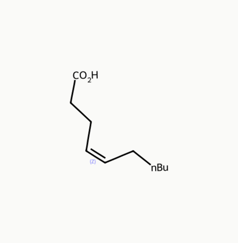 CCCCC/C=C\CCC(=O)O